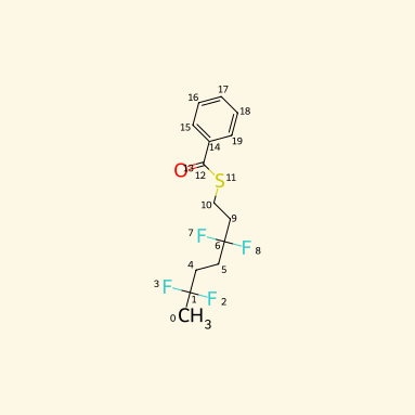 CC(F)(F)CCC(F)(F)CCSC(=O)c1ccccc1